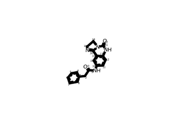 O=C(Cc1ccccc1)Nc1ccc2c(c1)C1=NCCN1C(=O)N2